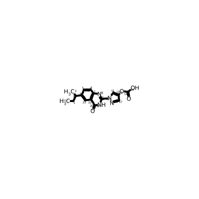 CCC(C)c1ccc2nc(-n3cc(OC(=O)O)cn3)[nH]c(=O)c2c1